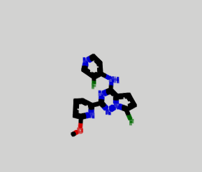 COc1cccc(-c2nc(Nc3ccncc3F)c3ccc(F)n3n2)n1